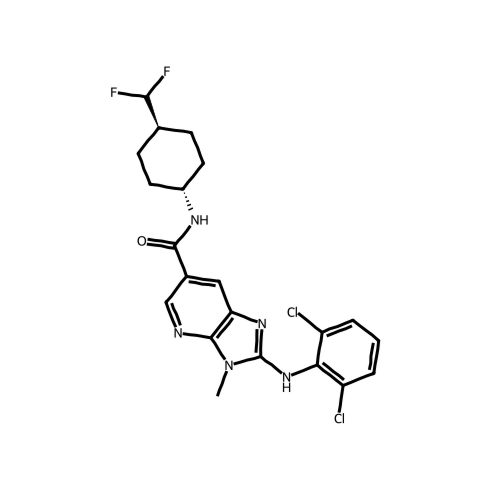 Cn1c(Nc2c(Cl)cccc2Cl)nc2cc(C(=O)N[C@H]3CC[C@H](C(F)F)CC3)cnc21